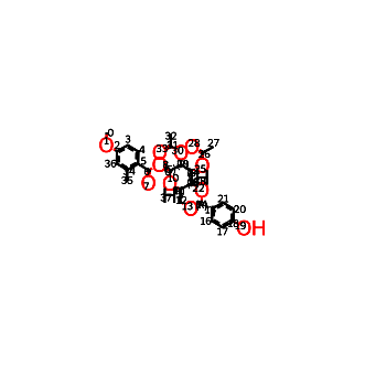 COc1ccc(C(=O)O[C@@H]2O[C@@H]3CO[C@@H](c4ccc(O)cc4)O[C@H]3[C@H](OC(C)=O)[C@H]2OC(C)=O)c(C)c1